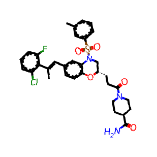 C/C(=C\c1ccc2c(c1)N(S(=O)(=O)c1cccc(C)c1)C[C@H](CCC(=O)N1CCC(C(N)=O)CC1)O2)c1c(F)cccc1Cl